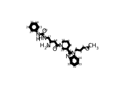 COCCCn1c(C2CCCN(C(=O)CC(N)CNC(=O)Nc3ccccc3)C2)nc2ccccc21